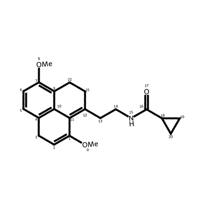 COC1=CCc2ccc(OC)c3c2C1=C(CCNC(=O)C1CC1)CC3